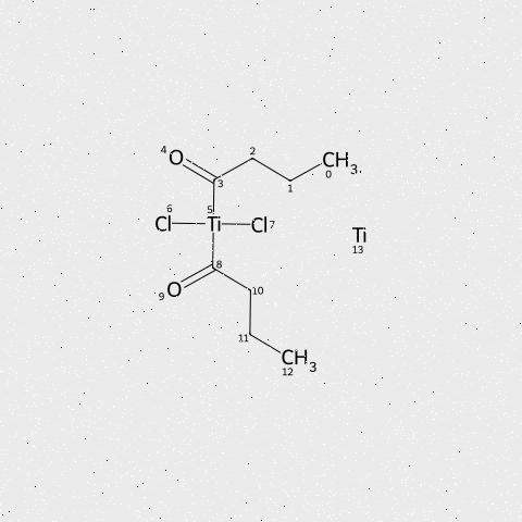 CCC[C](=O)[Ti]([Cl])([Cl])[C](=O)CCC.[Ti]